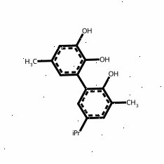 Cc1cc(O)c(O)c(-c2cc(C(C)C)cc(C)c2O)c1